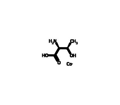 C[C@@H](O)[C@H](N)C(=O)O.[Co]